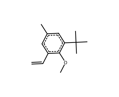 C=Cc1cc(C)cc(C(C)(C)C)c1OC